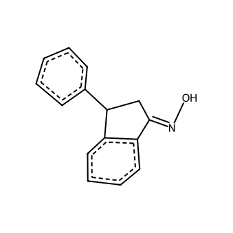 ON=C1CC(c2ccccc2)c2ccccc21